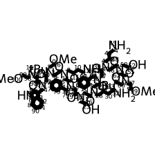 COCCN(CC(=O)N(CCCCN)CC(=O)N(CC(=O)N(CCO)CC(=O)N(CCCCN)CC(=O)N(CC(=O)N(CCCCN)CC(=O)N(CCO)CC(=O)N(CCOC)CC(=O)C(C)(C)C)[C@@H](C)c1ccccc1)[C@@H](C)c1ccccc1)C(=O)CN(Cc1c[nH]c2ccccc12)C(=O)CN(CCOC)C(C)(C)C